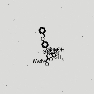 CNC(=O)C1CN(S(=O)(=O)c2ccc(OCc3ccccc3)cc2)C(C)(C(=O)NO)C(C)O1